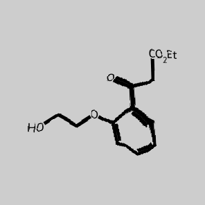 CCOC(=O)CC(=O)c1ccccc1OCCO